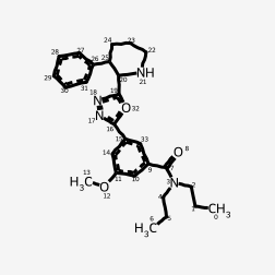 CCCN(CCC)C(=O)c1cc(OC)cc(-c2nnc(C3NCCCC3c3ccccc3)o2)c1